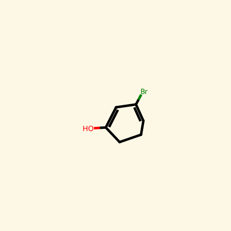 OC1=CC(Br)=CCC1